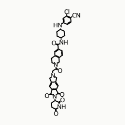 N#Cc1ccc(N[C@H]2CC[C@H](NC(=O)c3ccc4c(c3)CCN(C(=O)CN3Cc5cc6c(cc5C3)C(=O)N(C3CCC(=O)NC3=O)C6=O)C4)CC2)cc1Cl